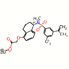 C=C(C)c1cc(C(F)(F)F)cc(S(=O)(=O)N(C)[C@@H]2CCCc3c(OCC(=O)OC(C)(C)C)cccc32)c1